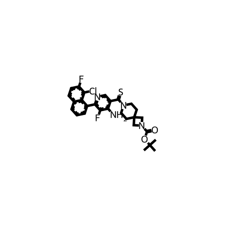 CC(C)(C)OC(=O)N1CC2(CCN(C(=S)c3cnc(-c4cccc5ccc(F)c(Cl)c45)c(F)c3N)CC2)C1